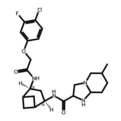 CC1CCC2NC(C(=O)N[C@@H]3C[C@H](NC(=O)COc4ccc(Cl)c(F)c4)C4CC3C4)CN2C1